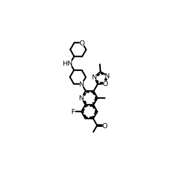 CC(=O)c1cc(F)c2nc(N3CCC(NC4CCOCC4)CC3)c(-c3nc(C)no3)c(C)c2c1